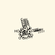 O=P(O)(O)OP(=O)(O)OP(=O)(O)OP(=O)(O)OP(=O)(O)O.[CaH2].[CaH2].[CaH2].[CaH2].[CaH2].[CaH2].[CaH2].[CaH2]